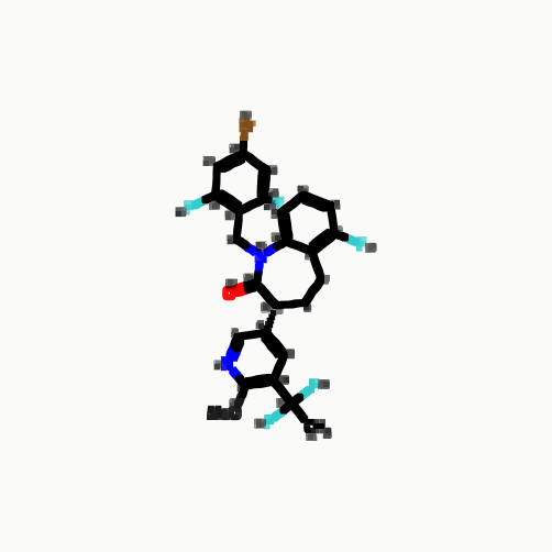 COc1ncc([C@H]2CCc3c(F)cccc3N(Cc3c(F)cc(Br)cc3F)C2=O)cc1C(C)(F)F